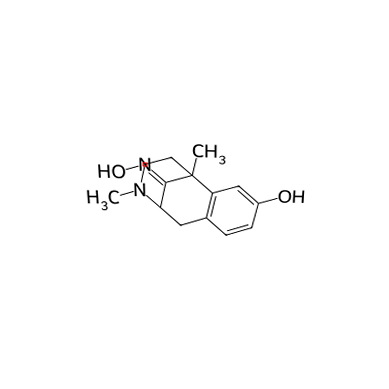 CN1CCC2(C)C(=NO)C1Cc1ccc(O)cc12